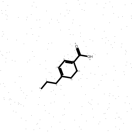 CCCC1=CC=C(C(=O)O)CC1